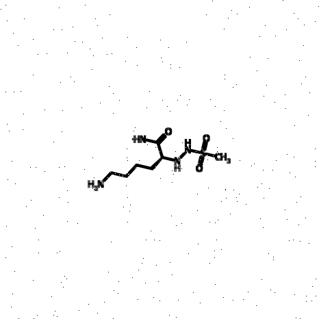 CS(=O)(=O)NN[C@@H](CCCCN)C([NH])=O